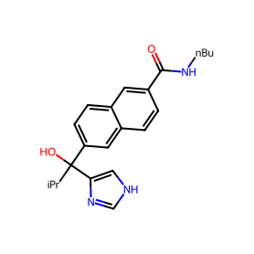 CCCCNC(=O)c1ccc2cc(C(O)(c3c[nH]cn3)C(C)C)ccc2c1